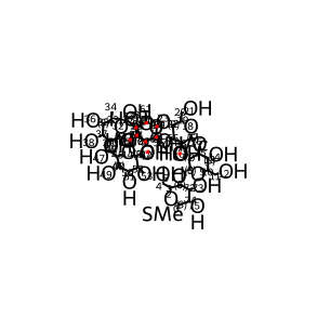 CS[C@@H]1OC(CO)[C@@H](O[C@@H]2OC(CO)[C@H](O)C(O[C@@H]3OC(CO)[C@@H](O[C@@H]4OC(CO)[C@@H](O[C@@H]5OC(C)[C@@H](O)C(O)C5O)C(O[C@@H]5OC(CO)[C@H](O)C(O)C5O)C4NC(C)=O)C(O[C@@H]4OC(C)[C@@H](O)C(O)C4O)C3O)C2O)C(O)C1O